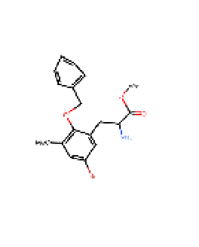 CCCOC(=O)C(N)Cc1cc(Br)cc(OC)c1OCc1ccccc1